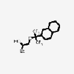 CCC(O)COC(C1CCC2CCCCC2C1)(C(F)(F)F)C(F)(F)F